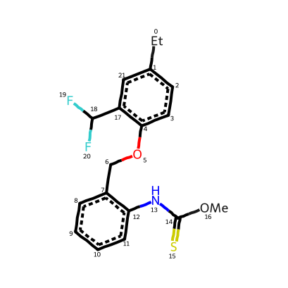 CCc1ccc(OCc2ccccc2NC(=S)OC)c(C(F)F)c1